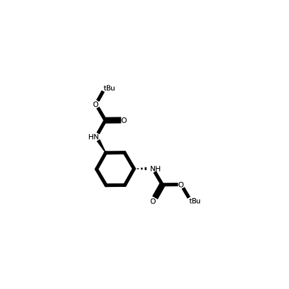 CC(C)(C)OC(=O)N[C@@H]1CCC[C@@H](NC(=O)OC(C)(C)C)C1